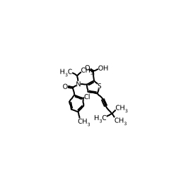 Cc1ccc(C(=O)N(c2cc(C#CC(C)(C)C)sc2C(=O)O)C(C)C)c(Cl)c1